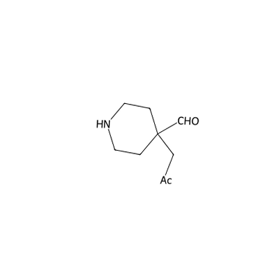 CC(=O)CC1(C=O)CCNCC1